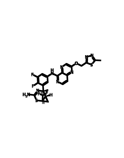 Cc1nnc(COc2cnc3c(Nc4cc(F)c(F)c([C@@]5(C)N=C(N)S[C@@]6(C(F)F)C[C@@H]56)c4)nccc3n2)s1